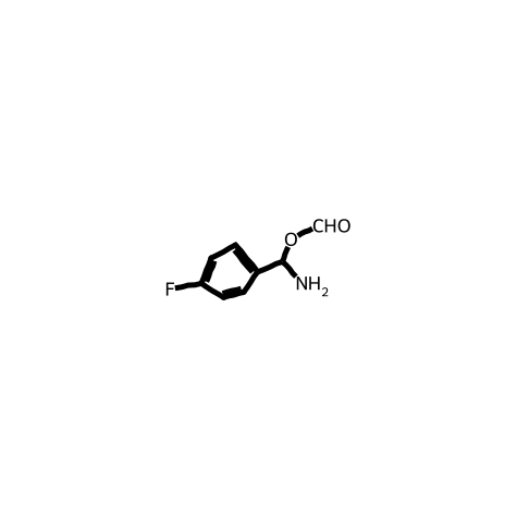 NC(OC=O)c1ccc(F)cc1